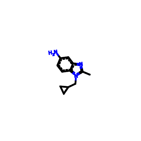 Cc1nc2cc(N)ccc2n1CC1CC1